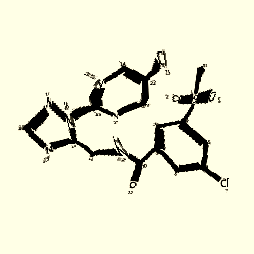 CS(=O)(=O)c1cc(Cl)cc(C(=O)NCc2ncnn2-c2ncc(Cl)cn2)c1